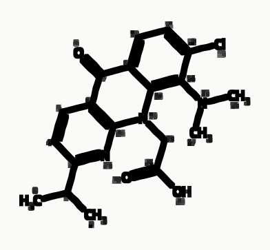 CC(C)c1ccc2c(=O)c3ccc(Cl)c(N(C)C)c3n(CC(=O)O)c2n1